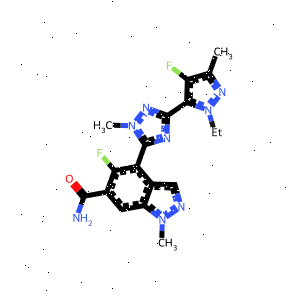 CCn1nc(C)c(F)c1-c1nc(-c2c(F)c(C(N)=O)cc3c2cnn3C)n(C)n1